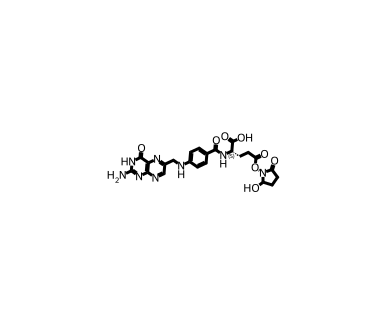 Nc1nc2ncc(CNc3ccc(C(=O)N[C@@H](CCC(=O)ON4C(=O)CCC4O)C(=O)O)cc3)nc2c(=O)[nH]1